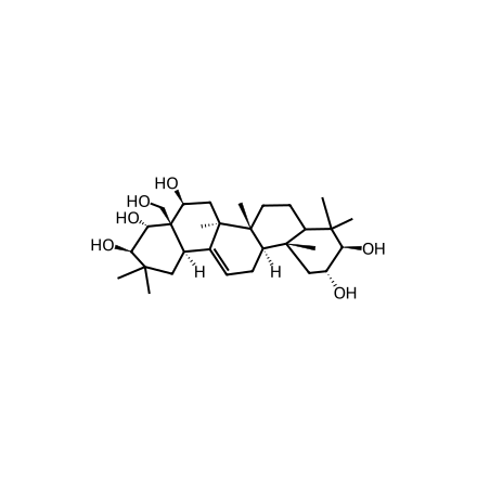 CC1(C)C[C@@H]2C3=CC[C@@H]4[C@@]5(C)C[C@@H](O)[C@H](O)C(C)(C)C5CC[C@@]4(C)[C@]3(C)C[C@H](O)[C@@]2(CO)[C@@H](O)[C@@H]1O